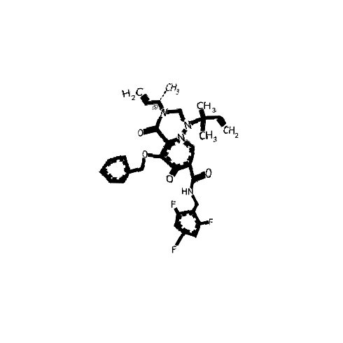 C=C[C@H](C)N1CN(C(C)(C)C=C)n2cc(C(=O)NCc3c(F)cc(F)cc3F)c(=O)c(OCc3ccccc3)c2C1=O